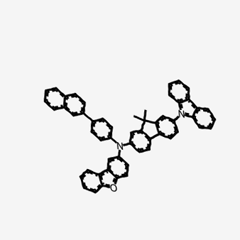 CC1(C)c2cc(N(c3ccc(-c4ccc5ccccc5c4)cc3)c3ccc4oc5ccccc5c4c3)ccc2-c2ccc(-n3c4ccccc4c4ccccc43)cc21